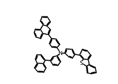 c1cc(-c2cccc3ccccc23)cc(N(c2ccc(-c3cc4ccccc4c4ccccc34)cc2)c2ccc(-c3cccc4c3sc3ccccc34)cc2)c1